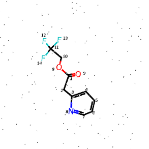 O=C(Cc1ccccn1)OCC(F)(F)F